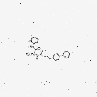 CC(C)(C)[C@H](NC(=O)CC[CH]c1ccc(-c2ccccc2)cc1)C(=O)Nc1ccccn1